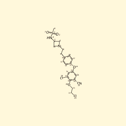 CS(=O)(=O)NC1CN(CCc2ccc(Oc3cc(Cl)c(OCCCl)c(C#N)c3)cc2)C1